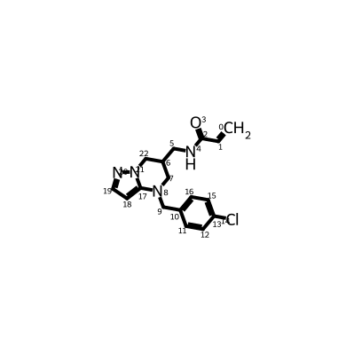 C=CC(=O)NCC1CN(Cc2ccc(Cl)cc2)c2ccnn2C1